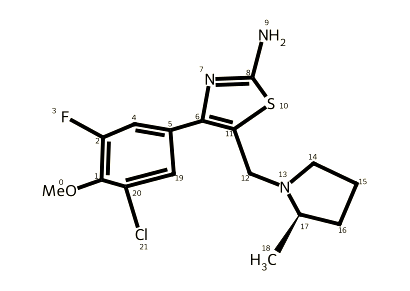 COc1c(F)cc(-c2nc(N)sc2CN2CCC[C@H]2C)cc1Cl